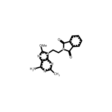 COc1nc2c(N)nc(C)nc2n1CCN1C(=O)c2ccccc2C1=O